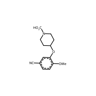 COc1ccc(C#N)cc1OC1CCN(C(=O)O)CC1